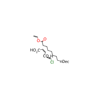 C=CCl.C=COC(=O)CCCCCCCCCCCCCCCCC.O=C(O)/C=C\C(=O)O